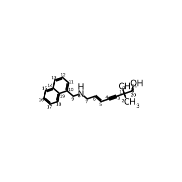 CC(C)(C#CC=CCNCc1cccc2ccccc12)CO